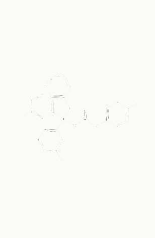 Cc1cccc(C(Cc2ccccc2)(NC(=O)Nc2ccc(F)cc2)c2cccc(C(F)(F)F)c2)n1